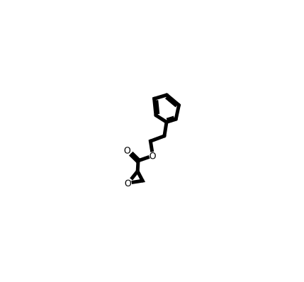 O=C(OCCc1ccccc1)C1CO1